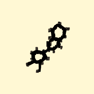 Cc1ccc(-c2cnc3ccccc3n2)cc1C